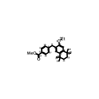 CCOc1cc2c(cc1Cc1ccc(C(=O)OC)cc1)C(C)(C)CCC2(C)C